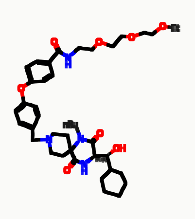 CCCCN1C(=O)[C@@H]([C@H](O)C2CCCCC2)NC(=O)C12CCN(Cc1ccc(Oc3ccc(C(=O)NCCOCCOCCOCC)cc3)cc1)CC2